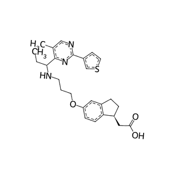 CCC(NCCCOc1ccc2c(c1)CC[C@H]2CC(=O)O)c1nc(-c2ccsc2)ncc1C